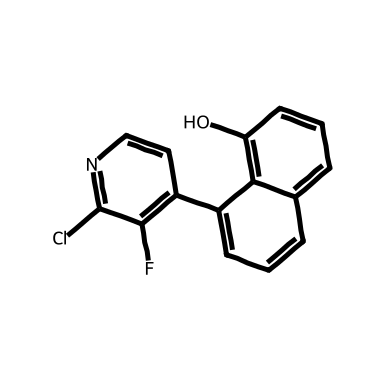 Oc1cccc2cccc(-c3ccnc(Cl)c3F)c12